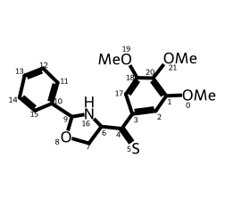 COc1cc(C(=S)C2COC(c3ccccc3)N2)cc(OC)c1OC